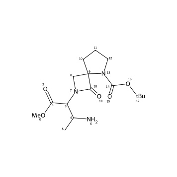 COC(=O)C(C(C)N)N1CC2(CCCN2C(=O)OC(C)(C)C)C1=O